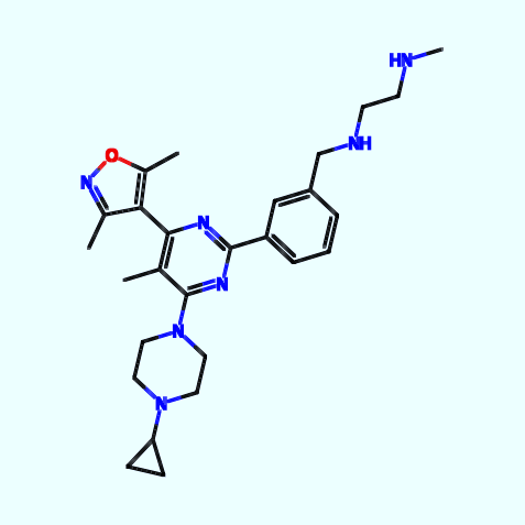 CNCCNCc1cccc(-c2nc(-c3c(C)noc3C)c(C)c(N3CCN(C4CC4)CC3)n2)c1